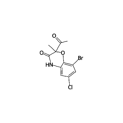 CC(=O)C1(C)Oc2c(Br)cc(Cl)cc2NC1=O